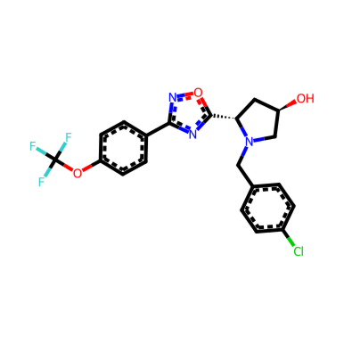 O[C@@H]1C[C@@H](c2nc(-c3ccc(OC(F)(F)F)cc3)no2)N(Cc2ccc(Cl)cc2)C1